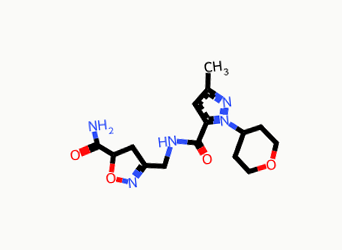 Cc1cc(C(=O)NCC2=NOC(C(N)=O)C2)n(C2CCOCC2)n1